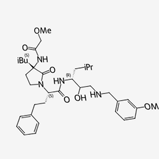 CC[C@H](C)C1(NC(=O)COC)CCN([C@@H](CCc2ccccc2)C(=O)N[C@H](CC(C)C)C(O)CNCc2cccc(OC)c2)C1=O